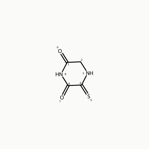 O=C1CNC(=S)C(=O)N1